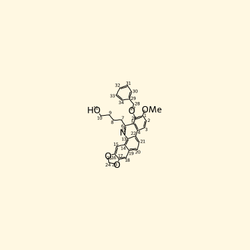 COc1ccc2c(c(CCCCO)nc3c4cc5c(cc4ccc23)OCO5)c1OCc1ccccc1